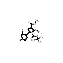 COC(=O)c1cc(-c2ccc(F)cc2F)n(C(=O)OC(C)(C)C)c1OC